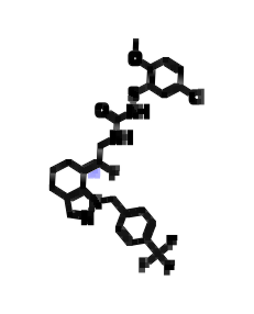 COc1ccc(Cl)cc1SNC(=O)NC/C(F)=C1\CCCc2cnn(Cc3ccc(C(F)(F)F)cc3)c21